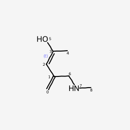 C=C(/C=C(\C)O)CNC